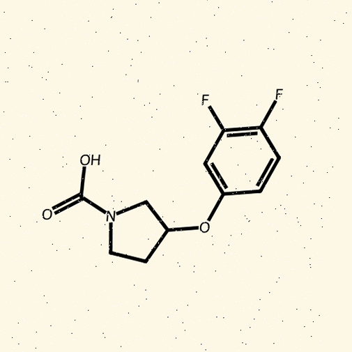 O=C(O)N1CCC(Oc2ccc(F)c(F)c2)C1